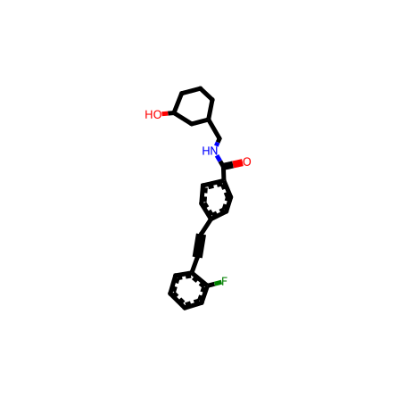 O=C(NCC1CCCC(O)C1)c1ccc(C#Cc2ccccc2F)cc1